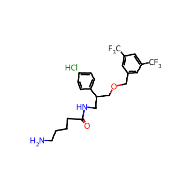 Cl.NCCCCC(=O)NCC(COCc1cc(C(F)(F)F)cc(C(F)(F)F)c1)c1ccccc1